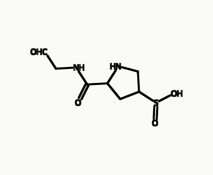 O=CCNC(=O)C1CC(S(=O)O)CN1